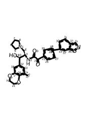 O=C(N[C@H](CN1CCCC1)[C@H](O)c1cc(F)c2c(c1)OCCO2)C(=O)c1ccc(-c2ccc3cnoc3c2)cc1